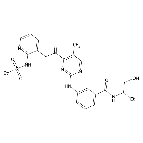 CCC(CO)NC(=O)c1cccc(Nc2ncc(C(F)(F)F)c(NCc3cccnc3NS(=O)(=O)CC)n2)c1